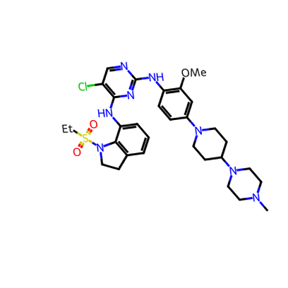 CCS(=O)(=O)N1CCc2cccc(Nc3nc(Nc4ccc(N5CCC(N6CCN(C)CC6)CC5)cc4OC)ncc3Cl)c21